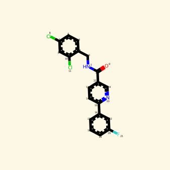 O=C(NCc1ccc(Cl)cc1Cl)c1ccc(-c2cccc(F)c2)nc1